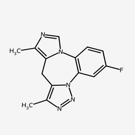 Cc1ncn2c1Cc1c(C)nnn1-c1cc(F)ccc1-2